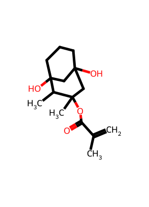 C=C(C)C(=O)OC1(C)CC2(O)CCCC(O)(C2)C1C